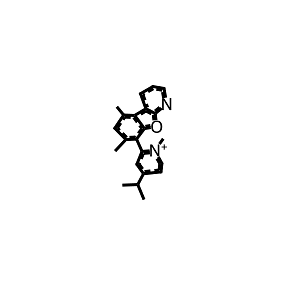 Cc1cc(C)c2c(oc3ncccc32)c1-c1cc(C(C)C)cc[n+]1C